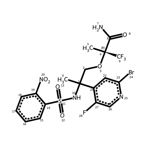 CC(CO[C@](C)(C(N)=O)C(F)(F)F)(NS(=O)(=O)c1ccccc1[N+](=O)[O-])c1cc(Br)ncc1F